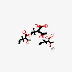 C=CC(C)(C)C(C(C)=O)C(=O)[O-].C=CC(C)(C)C(C(C)=O)C(=O)[O-].C=CC(C)(C)C(C(C)=O)C(=O)[O-].[Co+3]